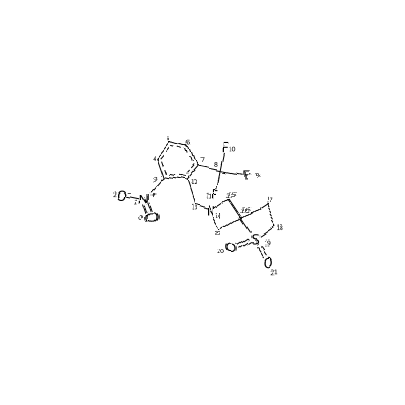 O=[N+]([O-])c1cccc(C(F)(F)F)c1CN1CC2(CCS2(=O)=O)C1